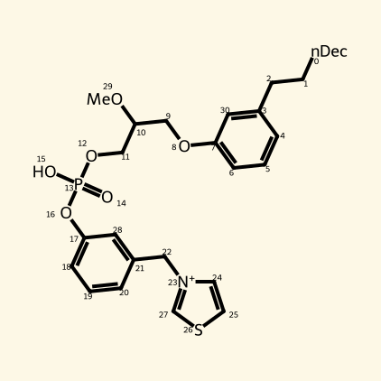 CCCCCCCCCCCCc1cccc(OCC(COP(=O)(O)Oc2cccc(C[n+]3ccsc3)c2)OC)c1